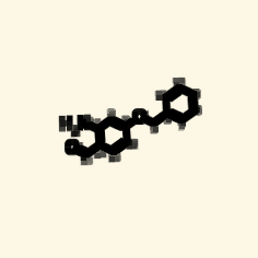 Nc1cc(OCc2ccccc2)ccc1C=O